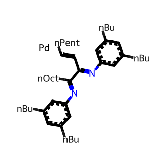 CCCCC/C=C/C(=N\c1cc(CCCC)cc(CCCC)c1)C(/CCCCCCCC)=N/c1cc(CCCC)cc(CCCC)c1.[Pd]